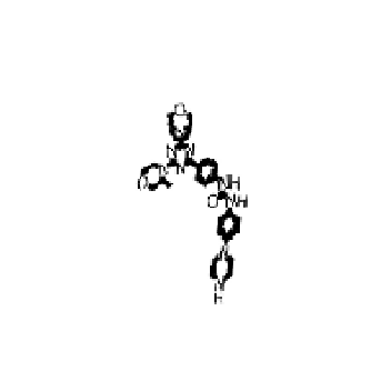 CC1COCCN1c1nc(-c2ccc(NC(=O)Nc3ccc(N4CCNCC4)cc3)cc2)nc(N2C3CCC2COC3)n1